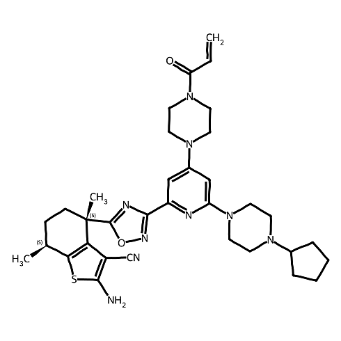 C=CC(=O)N1CCN(c2cc(-c3noc([C@@]4(C)CC[C@H](C)c5sc(N)c(C#N)c54)n3)nc(N3CCN(C4CCCC4)CC3)c2)CC1